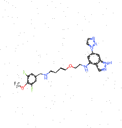 Fc1cc(CNCCCCOCCNc2cc(-n3ccnn3)cc3[nH]ncc23)cc(F)c1OC(F)(F)F